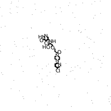 O=C(CCOCC(CO)Nc1cn[nH]c(=O)c1C(F)(F)F)N1CCN(c2ccc(Cl)cn2)CC1